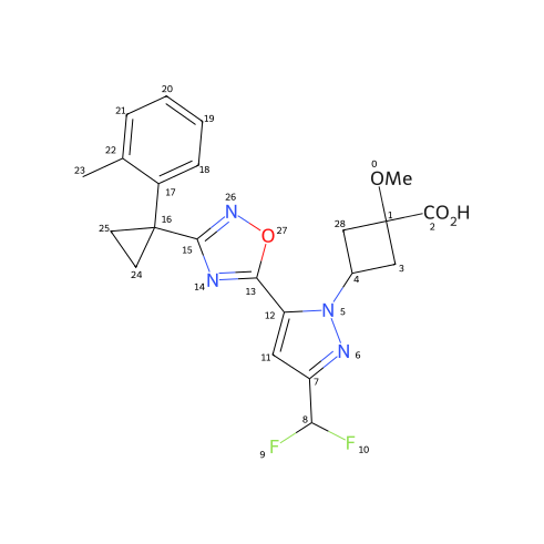 COC1(C(=O)O)CC(n2nc(C(F)F)cc2-c2nc(C3(c4ccccc4C)CC3)no2)C1